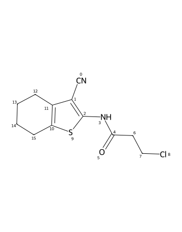 N#Cc1c(NC(=O)CCCl)sc2c1CCCC2